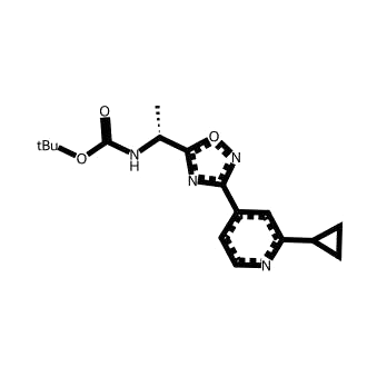 C[C@@H](NC(=O)OC(C)(C)C)c1nc(-c2ccnc(C3CC3)c2)no1